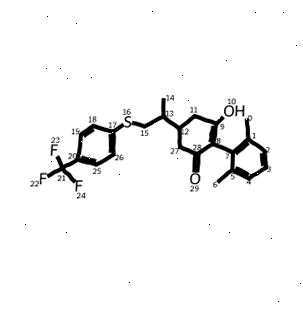 Cc1cccc(C)c1C1=C(O)CC(C(C)CSc2ccc(C(F)(F)F)cc2)CC1=O